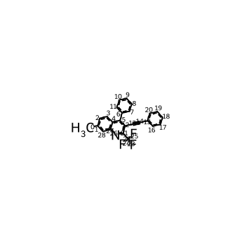 Cc1ccc2c(-c3ccccc3)c(C#Cc3ccccc3)c(C(F)(F)F)nc2c1